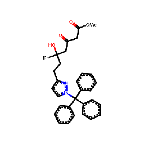 COC(=O)CC(=O)CC(O)(CCc1ccn(C(c2ccccc2)(c2ccccc2)c2ccccc2)n1)C(C)C